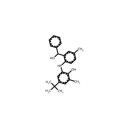 Cc1ccc(Pc2cc(C(C)(C)C)cc(C)c2O)c(C(O)c2ccccc2)c1